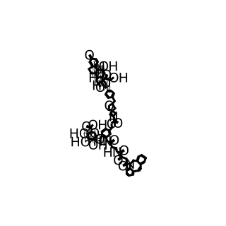 C[C@]12C=CC(=O)C=C1CC[C@@H]1[C@@H]2[C@@H](O)CC2[C@H]1C[C@H]1O[C@@H](c3ccc(CC4CC5(CO4)CN(C(=O)OCc4ccc(O[C@@H]6O[C@H](C(=O)O)[C@@H](O)[C@H](O)[C@H]6O)c(NC(=O)CCNC(=O)C(=O)CC(=O)N6Cc7ccccc7C#Cc7ccccc76)c4)C5)cc3)O[C@@]21C(=O)CO